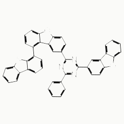 c1ccc(-c2nc(-c3ccc4oc5ccccc5c4c3)nc(-c3ccc4oc5cccc(-c6cccc7c6sc6ccccc67)c5c4c3)n2)cc1